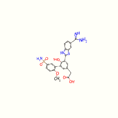 COc1ccc(S(N)(=O)=O)cc1-c1cc(CC(=O)O)cc(-c2nc3cc(C(=N)N)ccc3[nH]2)c1O